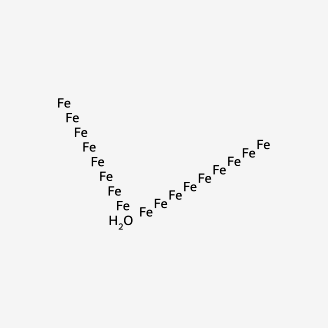 O.[Fe].[Fe].[Fe].[Fe].[Fe].[Fe].[Fe].[Fe].[Fe].[Fe].[Fe].[Fe].[Fe].[Fe].[Fe].[Fe].[Fe]